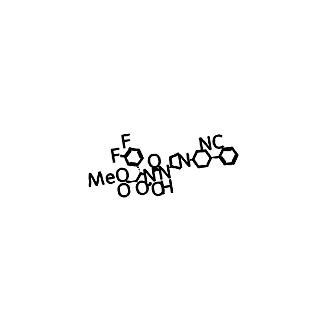 COC(=O)[C@@H]1OC(=O)N(C(=O)N[C@@H]2CCN([C@H]3CC[C@H](c4ccccc4C#N)CC3)C2)[C@H]1c1ccc(F)c(F)c1